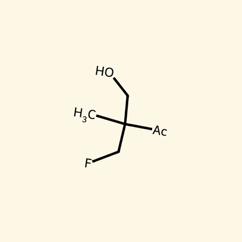 CC(=O)C(C)(CO)CF